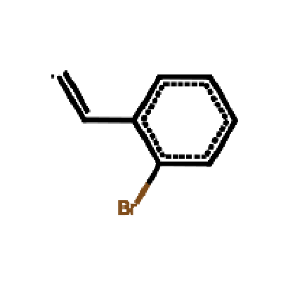 [CH]=Cc1ccccc1Br